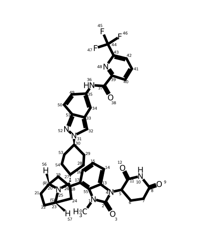 Cn1c(=O)n(C2CCC(=O)NC2=O)c2cccc(C3C[C@H]4CC[C@@H](C3)N4C[C@H]3CC[C@H](n4cc5cc(NC(=O)c6cccc(C(F)(F)F)n6)ccc5n4)CC3)c21